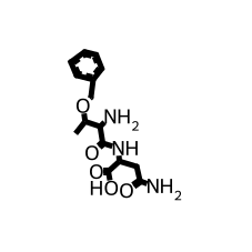 CC(OCc1ccccc1)C(N)C(=O)NC(CC(N)=O)C(=O)O